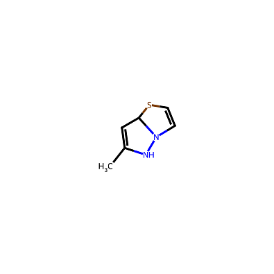 CC1=CC2SC=CN2N1